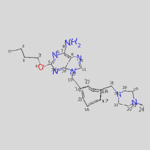 CCCCOc1nc(N)c2ncn(Cc3cccc(CN4CCN(C)CC4)c3)c2n1